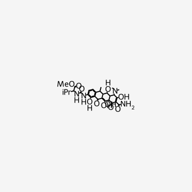 COC(=O)C(NC(=O)Nc1ccc2c(c1O)C(=O)C1=C(O)C3(O)C(=O)C(C(N)=O)=C(O)C(N(C)C)C3C(O)C1C2C)C(C)C